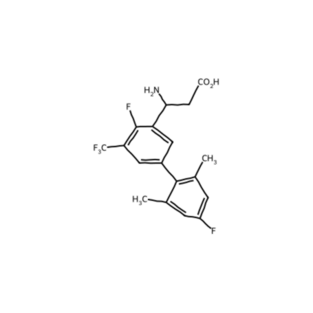 Cc1cc(F)cc(C)c1-c1cc(C(N)CC(=O)O)c(F)c(C(F)(F)F)c1